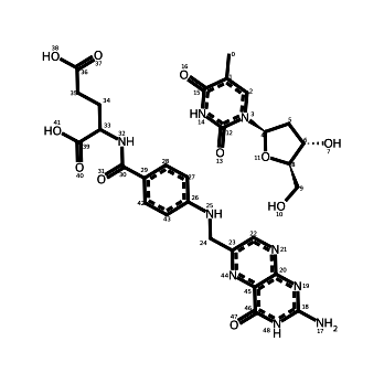 Cc1cn([C@H]2C[C@H](O)[C@@H](CO)O2)c(=O)[nH]c1=O.Nc1nc2ncc(CNc3ccc(C(=O)NC(CCC(=O)O)C(=O)O)cc3)nc2c(=O)[nH]1